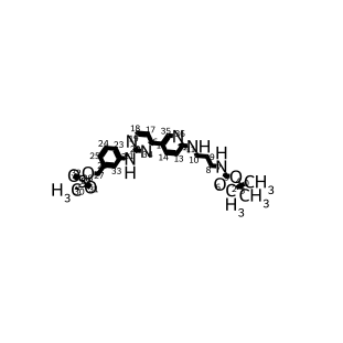 CC(C)(C)OC(=O)NCCCNc1ccc(-c2ccnc(Nc3cccc(COS(C)(=O)=O)c3)n2)cn1